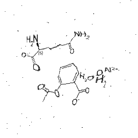 CC(=O)Oc1ccccc1C(=O)[O-].NC(=O)CC[C@H](N)C(=O)[O-].O.O.[Al+2]